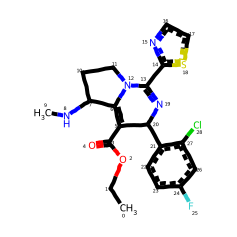 CCOC(=O)C1=C2C(NC)CCN2C(c2nccs2)=NC1c1ccc(F)cc1Cl